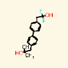 CC(C)(O)Cc1ccc(-c2ccc(CC(O)(F)F)cc2)cc1